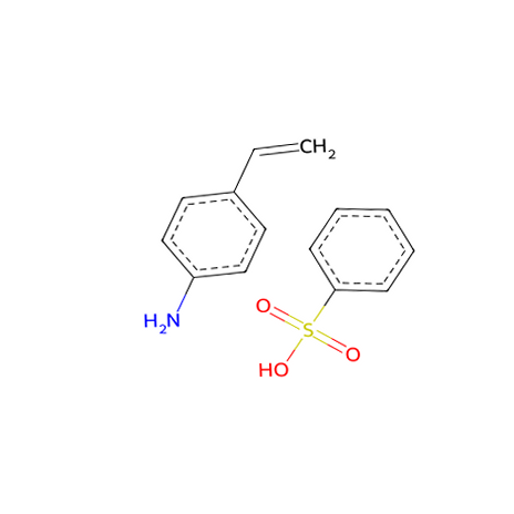 C=Cc1ccc(N)cc1.O=S(=O)(O)c1ccccc1